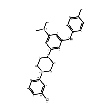 Cc1ccc(Nc2cc(N(C)C)nc(N3CCN(c4cccc(Cl)c4)CC3)n2)cc1